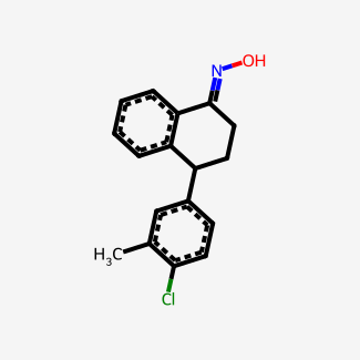 Cc1cc(C2CCC(=NO)c3ccccc32)ccc1Cl